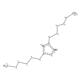 CCCCCCc1c[nH]c(CCCCCC)n1